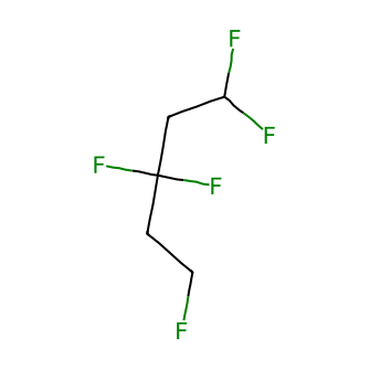 FCCC(F)(F)CC(F)F